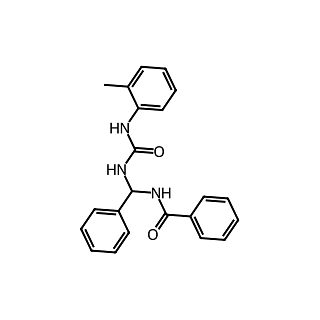 Cc1ccccc1NC(=O)NC(NC(=O)c1ccccc1)c1ccccc1